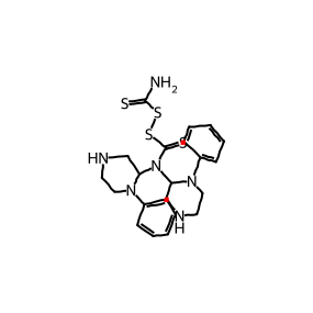 NC(=S)SSC(=S)N(C1CNCCN1c1ccccc1)C1CNCCN1c1ccccc1